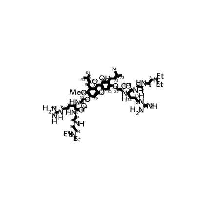 CCN(CC)CCNCCNC(=O)C(CCCNC(=N)N)NC(=O)COc1cc2oc3cc(OCC(=O)NC(CCCNC(=N)N)C(=O)NCCNCCN(CC)CC)c(OC)c(CC=C(C)C)c3c(=O)c2c(O)c1CC=C(C)C